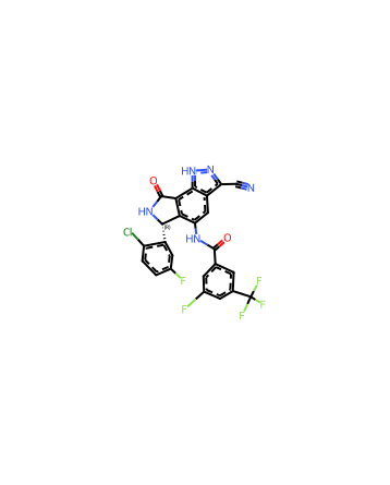 N#Cc1n[nH]c2c3c(c(NC(=O)c4cc(F)cc(C(F)(F)F)c4)cc12)[C@H](c1cc(F)ccc1Cl)NC3=O